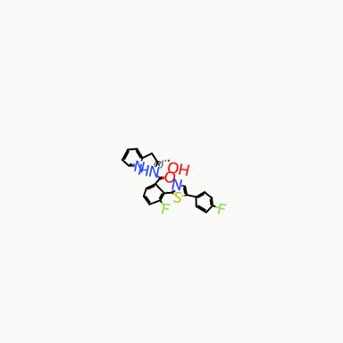 O=C(N[C@@H](CO)Cc1ccccn1)c1cccc(F)c1-c1ncc(-c2ccc(F)cc2)s1